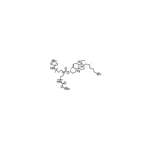 CC(C)CCC[C@@H](C)[C@H]1CC[C@H]2[C@@H]3CC=C4C[C@@H](OC(=O)N(CCC(C)(C)NC(=O)OC(C)(C)C)CCC(C)(C)NC(=O)OC(C)(C)C)CC[C@]4(C)[C@H]3CC[C@]12C